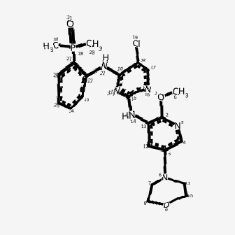 COc1ncc(N2CCOCC2)cc1Nc1ncc(Cl)c(Nc2ccccc2P(C)(C)=O)n1